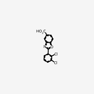 O=C(O)c1ccc2oc(-c3cccc(Cl)c3Cl)nc2c1